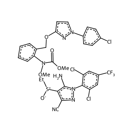 CC[S+]([O-])c1c(C#N)nn(-c2c(Cl)cc(C(F)(F)F)cc2Cl)c1N.COC(=O)N(OC)c1ccccc1COc1ccn(-c2ccc(Cl)cc2)n1